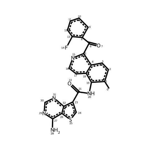 Cc1ccc2c(C(=O)c3ccccc3F)nccc2c1NC(=O)c1csc2c(N)ncnc12